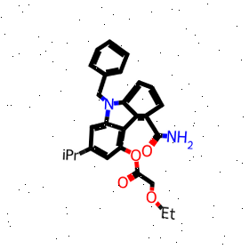 CCOCC(=O)Oc1cc(C(C)C)cc2c1c1c(C(N)=O)cccc1n2Cc1ccccc1